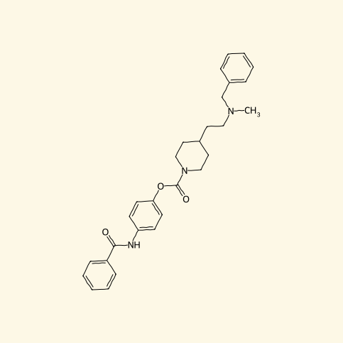 CN(CCC1CCN(C(=O)Oc2ccc(NC(=O)c3ccccc3)cc2)CC1)Cc1ccccc1